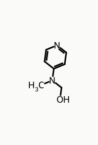 CN(CO)c1ccncc1